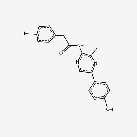 Cc1nc(-c2ccc(O)cc2)cnc1NC(=O)Cc1ccc(I)cc1